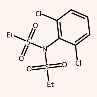 CCS(=O)(=O)N(c1c(Cl)cccc1Cl)S(=O)(=O)CC